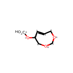 O=C(O)OC1/C=C/COCOC1